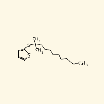 CCCCCCCCCC(C)(C)Sc1cccs1